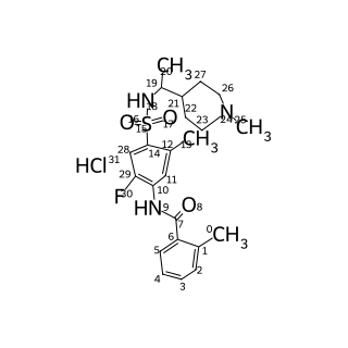 Cc1ccccc1C(=O)Nc1cc(C)c(S(=O)(=O)NC(C)C2CCN(C)CC2)cc1F.Cl